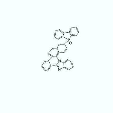 O=P1(c2ccc3c(ccc4c5ccccc5c5nc6ccccc6n5c34)c2)c2ccccc2-c2ccccc21